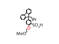 COCCOc1ccc(C2(CC(C)C)c3ccccc3-c3ccccc32)cc1S(=O)(=O)O